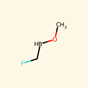 COBCF